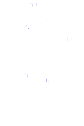 CCc1cc(C2=NC=C3C(Br)=COCC4=C3N2CC4)cc2nc(N)oc12